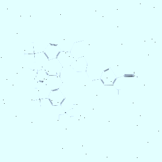 CCC(c1ccc(C(F)(F)F)cc1CN(Cc1cc(C(F)(F)F)cc(C(F)(F)F)c1)c1nnn(C)n1)N1CCC(Oc2ccc(C#N)c(F)c2)CC1